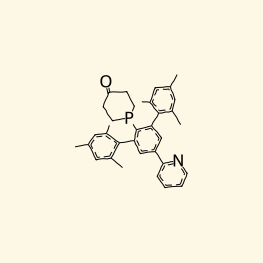 Cc1cc(C)c(-c2cc(-c3ccccn3)cc(-c3c(C)cc(C)cc3C)c2P2CCC(=O)CC2)c(C)c1